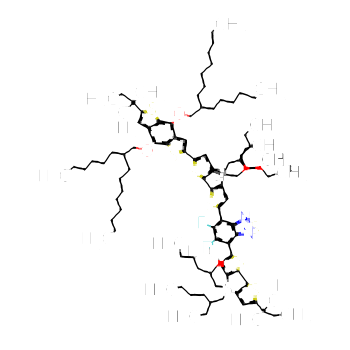 CCCCCCCCC(CCCCCC)COc1c2cc(C(C)(C)CC)sc2c(OCC(CCCCCC)CCCCCCCC)c2cc(-c3cc4c(s3)-c3sc(-c5c(F)c(F)c(-c6cc7c(s6)-c6sc(C(C)(C)CC)cc6[Si]7(CC(CC)CCCC)CC(CC)CCCC)c6nsnc56)cc3[Si]4(CC(CC)CCCC)CC(CC)CCCC)sc12